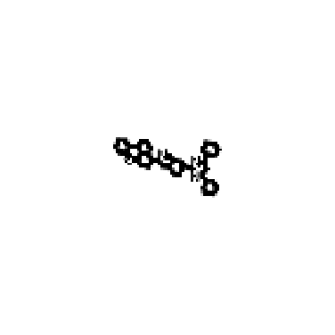 c1ccc(-c2cc(-c3ccccc3)nc(-c3ccc4cc(-c5ccc6c7c(cccc57)-c5ccccc5O6)ncc4c3)n2)cc1